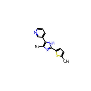 CCc1nc(-c2ccc(C#N)s2)[nH]c1-c1cccnc1